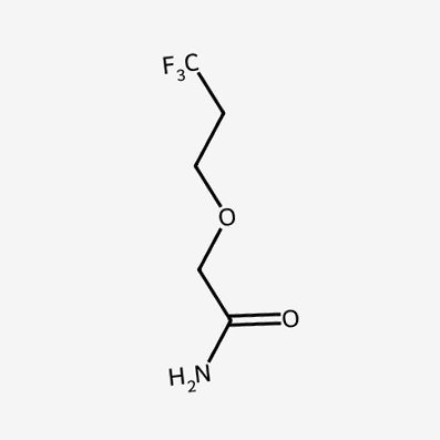 NC(=O)COCCC(F)(F)F